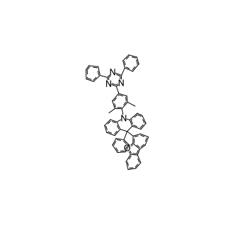 Cc1cc(-c2nc(-c3ccccc3)nc(-c3ccccc3)n2)cc(C)c1N1c2ccccc2C(c2ccccc2)(c2cccc3c2oc2ccccc23)c2ccccc21